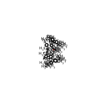 Cc1cc(F)cc(-c2cc(C(C)(C)CC(C)(C)C)cc(-n3c4cc([Si](C)(C(C)C)C(C)C)ccc4c4ccc([Si](C)(C(C)C)C(C)C)cc43)c2O)c1OCCCOc1c(C)cc(F)cc1-c1cc(C(C)(C)CC(C)(C)C)cc(-n2c3cc([Si](C)(C(C)C)C(C)C)ccc3c3ccc([Si](C)(C(C)C)C(C)C)cc32)c1O